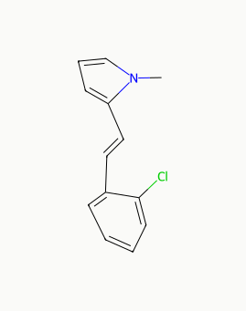 Cn1cccc1/C=C/c1ccccc1Cl